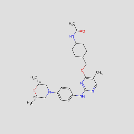 CC(=O)NC1CCC(COc2nc(Nc3ccc(N4C[C@@H](C)O[C@@H](C)C4)cc3)ncc2C)CC1